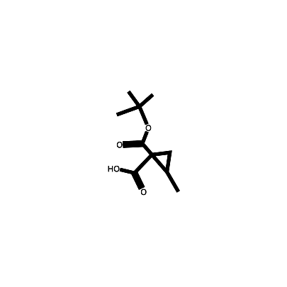 CC1CC1(C(=O)O)C(=O)OC(C)(C)C